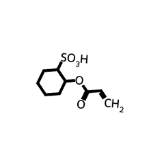 C=CC(=O)OC1CCCCC1S(=O)(=O)O